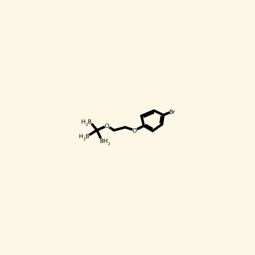 BC(B)(B)OCCOc1ccc(Br)cc1